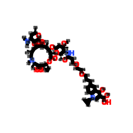 CC[C@H]1OC(=O)[C@H](C)[C@@H](O[C@H]2C[C@@](C)(OC)[C@H](NC(=O)CCOCCOCCCc3ccc4c(c3)c(=O)c(C(=O)O)cn4C3CC3)[C@H](C)O2)[C@H](C)[C@@H](O[C@@H]2O[C@H](C)C[C@H](N(C)C)[C@H]2O)[C@](C)(O)C[C@@H](C)CN(C)[C@H](C)[C@@H](O)[C@]1(C)O